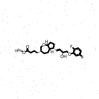 CCCOC(=O)CCC[C@H]1CC[C@@H]2[C@@H](/C=C/[C@@H](O)COc3cc(F)ccc3F)[CH]C[C@@H]2OC1